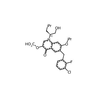 CC(C)C[C@@H](CO)n1cc(OC(=O)O)c(=O)c2cc(Cc3cccc(Cl)c3F)c(OC(C)C)cc21